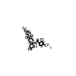 [2H]Cn1cc(S(=O)(=O)N2CCN(C3(CNC(=O)c4ccc(C(F)(F)F)cc4Cl)CCC(F)(F)CC3)CC2)nn1